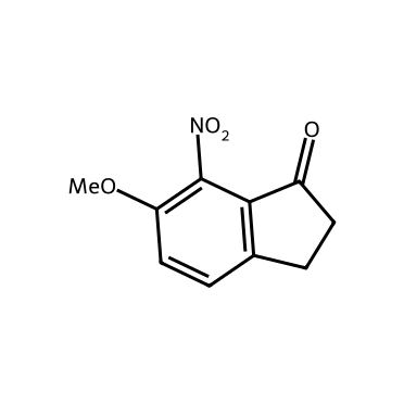 COc1ccc2c(c1[N+](=O)[O-])C(=O)CC2